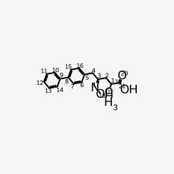 CC(CC(Cc1ccc(-c2ccccc2)cc1)=NO)C(=O)O